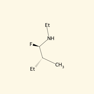 CCN[C@H](F)[C@H](C)CC